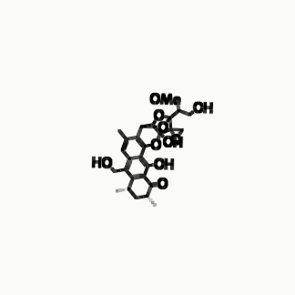 COC(CO)C12OC3c4c(C)cc5c(CO)c6c(c(O)c5c4OC(O)(C3O1)C21CO1)C(=O)[C@H](C)C[C@@H]6C